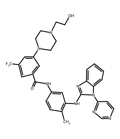 Cc1ccc(NC(=O)c2cc(N3CCN(CCO)CC3)cc(C(F)(F)F)c2)cc1Nc1nc2ccccc2n1-c1ccncn1